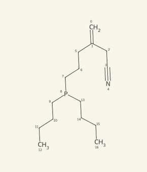 C=C(CC#N)CCCP(CCCC)CCCC